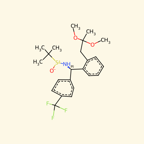 COC(C)(Cc1ccccc1[C@H](N[S+]([O-])C(C)(C)C)c1ccc(C(F)(F)F)cc1)OC